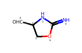 N=C1NC(C=O)CO1